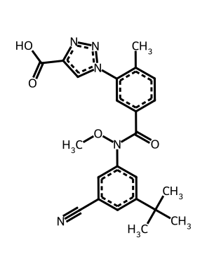 CON(C(=O)c1ccc(C)c(-n2cc(C(=O)O)nn2)c1)c1cc(C#N)cc(C(C)(C)C)c1